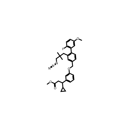 COC(=O)CC(c1cccc(OCc2ccc(-c3cc(OC)ccc3F)c(CC(C)(C)CN=[N+]=[N-])c2)c1)C1CC1